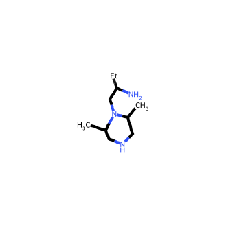 CCC(N)CN1C(C)CNCC1C